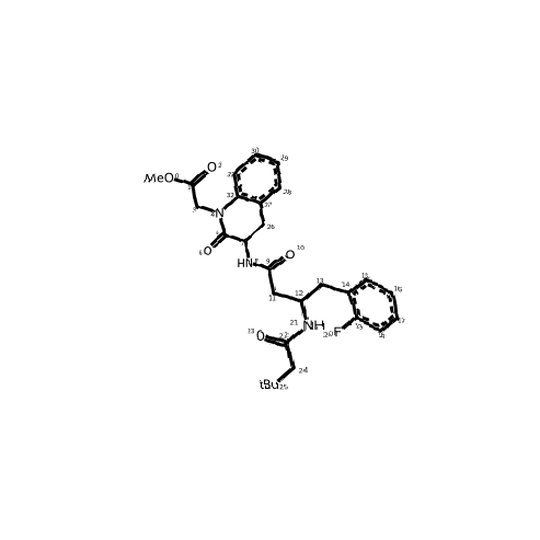 COC(=O)CN1C(=O)C(NC(=O)CC(Cc2ccccc2F)NC(=O)CC(C)(C)C)Cc2ccccc21